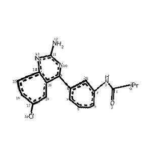 CC(C)C(=O)Nc1cccc(-c2nc(N)nc3ccc(Cl)cc23)c1